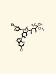 CCn1cc(Nc2cc(-n3cnc4cc(Cl)cnc43)ncc2C(=O)NCC(F)C(C)(C)O)cn1